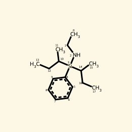 CCN[Si](c1ccccc1)(C(C)CC)C(C)CC